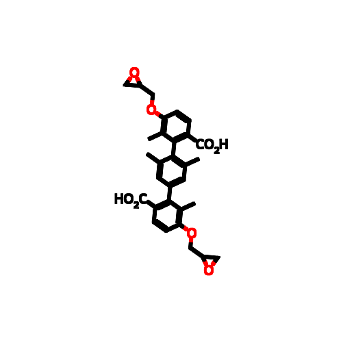 Cc1cc(-c2c(C(=O)O)ccc(OCC3CO3)c2C)cc(C)c1-c1c(C(=O)O)ccc(OCC2CO2)c1C